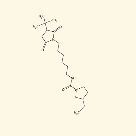 CCC1CCN(C(=O)NCCCCCCN2C(=O)CC(C(C)(C)C)C2=O)C1